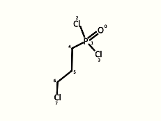 O=P(Cl)(Cl)CCCCl